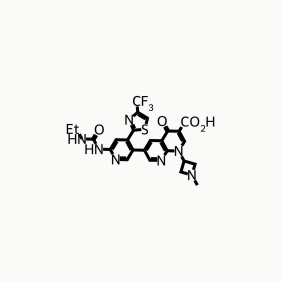 CCNC(=O)Nc1cc(-c2nc(C(F)(F)F)cs2)c(-c2cnc3c(c2)c(=O)c(C(=O)O)cn3C2CN(C)C2)cn1